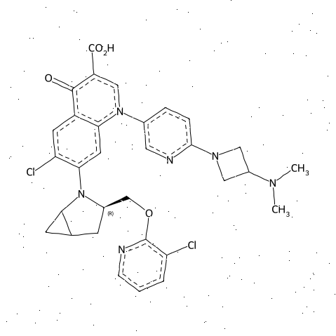 CN(C)C1CN(c2ccc(-n3cc(C(=O)O)c(=O)c4cc(Cl)c(N5C6CC6C[C@@H]5COc5ncccc5Cl)cc43)cn2)C1